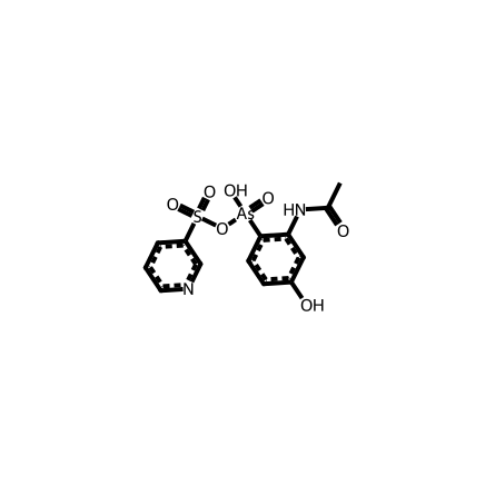 CC(=O)Nc1cc(O)ccc1[As](=O)(O)OS(=O)(=O)c1cccnc1